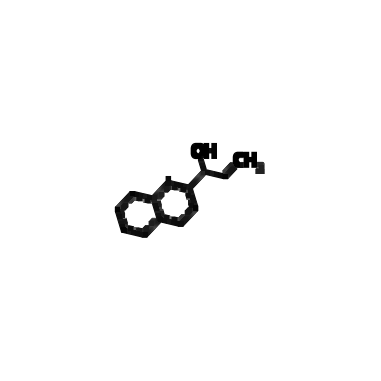 C=CC(O)c1[c]c2ccccc2cc1